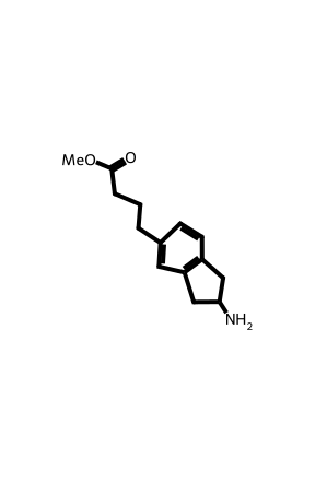 COC(=O)CCCc1ccc2c(c1)CC(N)C2